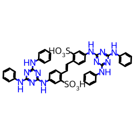 O=S(=O)(O)c1cc(Nc2nc(Nc3ccccc3)nc(Nc3ccccc3)n2)ccc1C=Cc1ccc(Nc2nc(Nc3ccccc3)nc(Nc3ccccc3)n2)cc1S(=O)(=O)O